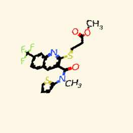 COC(=O)CCSc1nc2cc(C(F)(F)F)ccc2cc1C(=O)N(C)c1cccs1